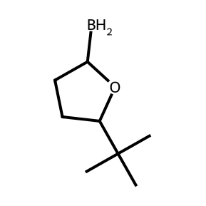 BC1CCC(C(C)(C)C)O1